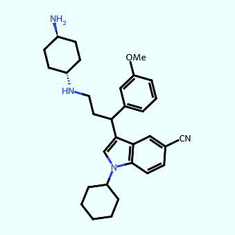 COc1cccc(C(CCN[C@H]2CC[C@H](N)CC2)c2cn(C3CCCCC3)c3ccc(C#N)cc23)c1